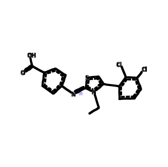 CCn1c(-c2cccc(Cl)c2Cl)cs/c1=N\c1ccc(C(=O)O)cc1